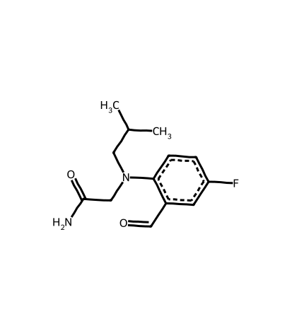 CC(C)CN(CC(N)=O)c1ccc(F)cc1C=O